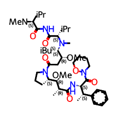 CC[C@H](C)[C@@H]([C@@H](CC(=O)N1CCC[C@H]1[C@H](OC)[C@@H](C)C(=O)N[C@H](C(=O)N1CCCCO1)[C@@H](C)c1ccccc1)OC)N(C)[C@H](C(=O)NC(=O)[C@@H](NC)C(C)C)C(C)C